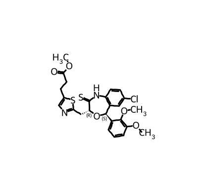 COC(=O)CCc1cnc(C[C@H]2O[C@H](c3cccc(OC)c3OC)c3cc(Cl)ccc3NC2=S)s1